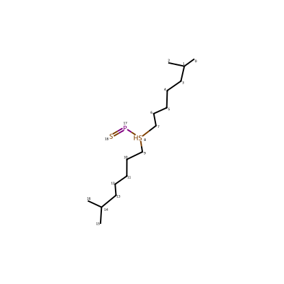 CC(C)CCCCC[SH](CCCCCC(C)C)P=S